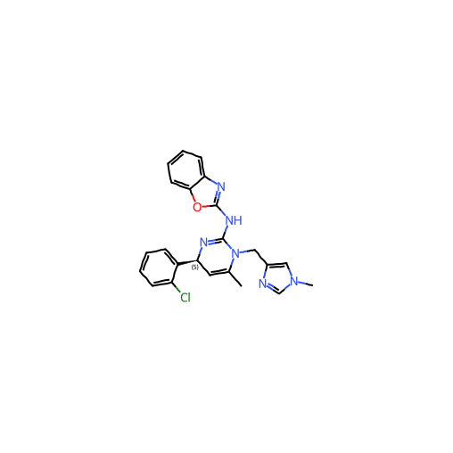 CC1=C[C@@H](c2ccccc2Cl)N=C(Nc2nc3ccccc3o2)N1Cc1cn(C)cn1